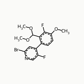 COc1ccc(-c2cc(Br)ncc2F)c(C(OC)OC)c1F